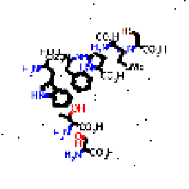 CC(O)C(N)C(=O)O.CSCCC(N)C(=O)O.NC(CO)C(=O)O.NC(CS)C(=O)O.NC(Cc1c[nH]c2ccccc12)C(=O)O.NC(Cc1ccccc1)C(=O)O.O=C(O)C1CCCN1